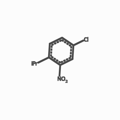 CC(C)c1ccc(Cl)cc1[N+](=O)[O-]